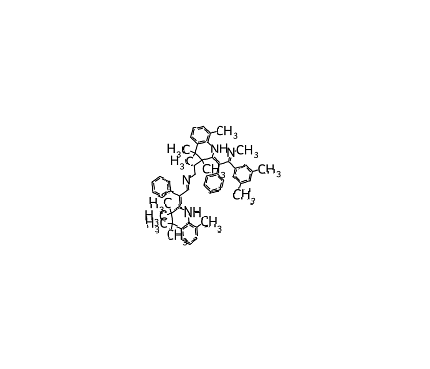 C/N=C(/C(=C1\Nc2c(C)cccc2C(C)(C)C1(C)CC/N=C/C(=C1\Nc2c(C)cccc2C(C)(C)C1(C)C)c1ccccc1)c1ccccc1)c1cc(C)cc(C)c1